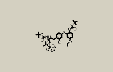 CCC[C@](CCc1ccc(Sc2cc(OCC)ccc2OC(=O)OC(C)(C)C)cc1Cl)(COP(=O)(OC)OC)NC(=O)OC(C)(C)C